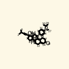 CC(C)C#C[C@]1(O)CC[C@H]2[C@@H]3CCC4=CC(=O)CCC4=C3[C@@H](c3ccc(N(C)C(C)C)cc3)C[C@@]21C